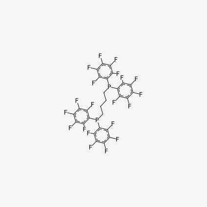 Fc1c(F)c(F)c(P(CCCCP(c2c(F)c(F)c(F)c(F)c2F)c2c(F)c(F)c(F)c(F)c2F)c2c(F)c(F)c(F)c(F)c2F)c(F)c1F